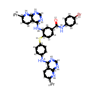 CC(C)c1ccc2c(Nc3ccc(Sc4ccc(C(=O)Nc5ccc(Br)cc5)cc4Nc4ncnc5nc(C(C)C)ccc45)cc3)ncnc2n1